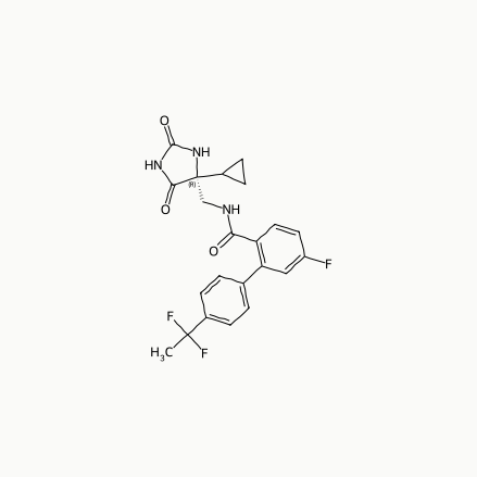 CC(F)(F)c1ccc(-c2cc(F)ccc2C(=O)NC[C@@]2(C3CC3)NC(=O)NC2=O)cc1